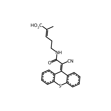 C/C(=C\CCNC(=O)C(C#N)=C1c2ccccc2Sc2ccccc21)C(=O)O